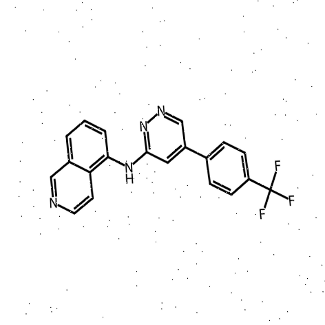 FC(F)(F)c1ccc(-c2cnnc(Nc3cccc4cnccc34)c2)cc1